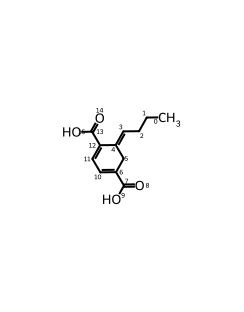 CCCC=C1CC(C(=O)O)=CC=C1C(=O)O